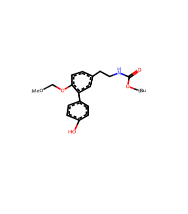 COCOc1ccc(CCNC(=O)OC(C)(C)C)cc1-c1ccc(O)cc1